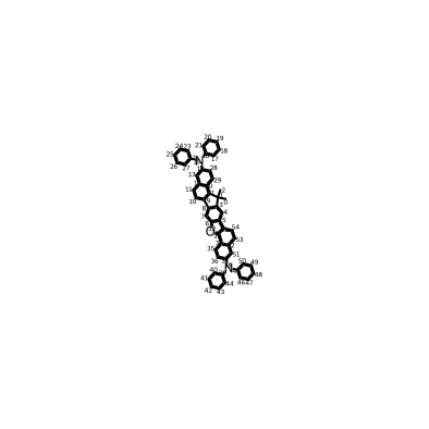 CC1(C)c2cc3c(cc2-c2ccc4cc(N(c5ccccc5)c5ccccc5)ccc4c21)oc1c2ccc(N(c4ccccc4)c4ccccc4)cc2ccc31